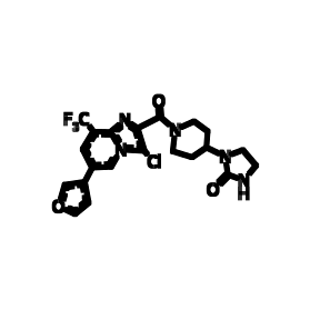 O=C(c1nc2c(C(F)(F)F)cc(-c3ccoc3)cn2c1Cl)N1CCC(N2CCNC2=O)CC1